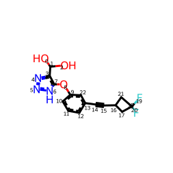 OC(O)c1nn[nH]c1Oc1cccc(C#CC2CC(F)(F)C2)c1